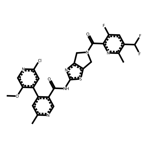 COc1cnc(Cl)cc1-c1cc(C)ncc1C(=O)Nc1nc2c(s1)CN(C(=O)c1nc(C)c(C(F)F)cc1F)C2